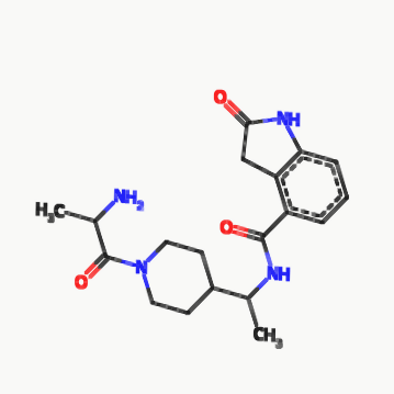 CC(N)C(=O)N1CCC(C(C)NC(=O)c2cccc3c2CC(=O)N3)CC1